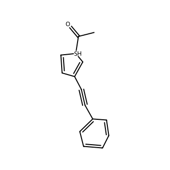 CC(=O)[SH]1C=CC(C#Cc2ccccc2)=C1